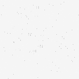 CS(=O)(=O)N1CCC2(CC1)OCCn1c2nc(C(=O)NCc2ccc(F)cc2-n2cncn2)c(O)c1=O